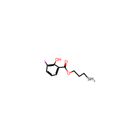 O=C(OCCC[SiH3])c1cccc(I)c1O